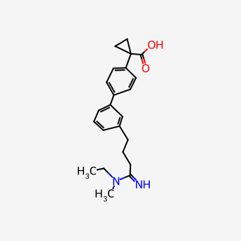 CCN(C)C(=N)CCCc1cccc(-c2ccc(C3(C(=O)O)CC3)cc2)c1